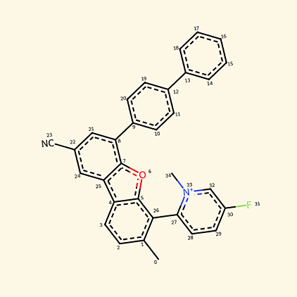 Cc1ccc2c(oc3c(-c4ccc(-c5ccccc5)cc4)cc(C#N)cc32)c1-c1ccc(F)c[n+]1C